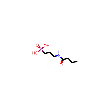 CCCC(=O)NCCCP(=O)(O)O